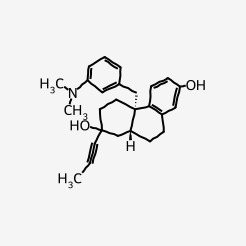 CC#CC1(O)CC[C@@]2(Cc3cccc(N(C)C)c3)c3ccc(O)cc3CC[C@@H]2C1